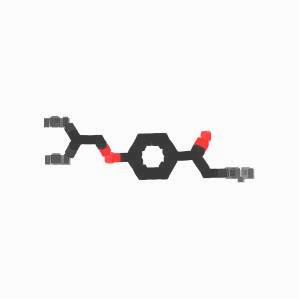 CCCCCCCCC(CCCCCCCC)COc1ccc(C(=O)CC(=O)OCC)cc1